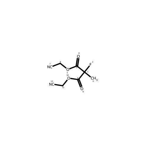 CC(F)(C(=O)OCC#N)C(=O)OCC#N